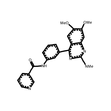 CNc1nc(-c2cccc(NC(=O)c3cccnc3)c2)c2cc(OC)c(OC)cc2n1